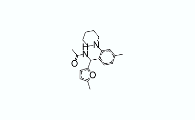 CC(=O)NC(c1ccc(C)o1)c1ccc(C)cc1N1CCCCC1